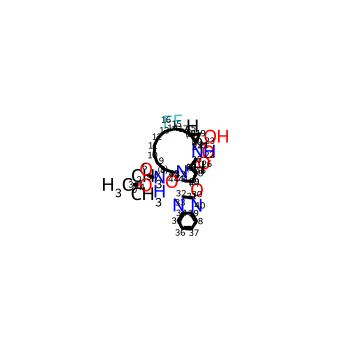 CC(C)(C)OC(=O)N[C@H]1CCCCCC(F)(F)C[C@@H]2C[C@@]2(C(=O)O)NC(=O)[C@@H]2C[C@@H](Oc3cnc4ccccc4n3)CN2C1=O